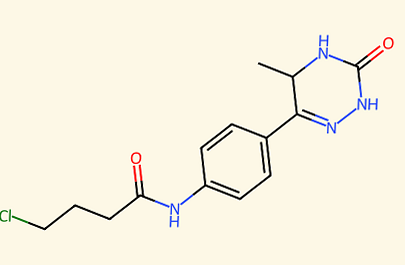 CC1NC(=O)NN=C1c1ccc(NC(=O)CCCCl)cc1